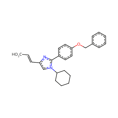 O=C(O)/C=C/c1cn(C2CCCCC2)c(-c2ccc(OCc3ccccc3)cc2)n1